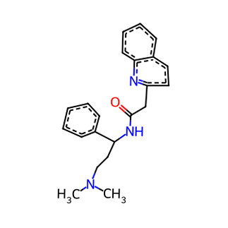 CN(C)CCC(NC(=O)Cc1ccc2ccccc2n1)c1ccccc1